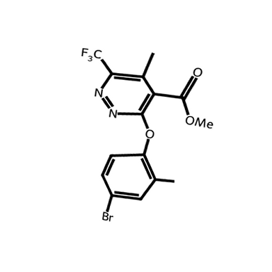 COC(=O)c1c(Oc2ccc(Br)cc2C)nnc(C(F)(F)F)c1C